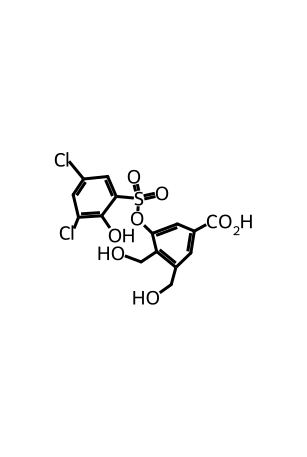 O=C(O)c1cc(CO)c(CO)c(OS(=O)(=O)c2cc(Cl)cc(Cl)c2O)c1